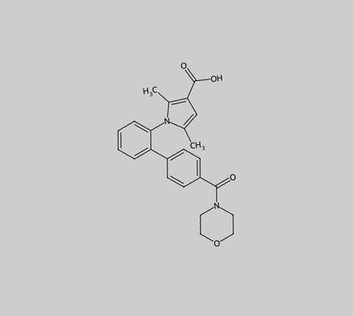 Cc1cc(C(=O)O)c(C)n1-c1ccccc1-c1ccc(C(=O)N2CCOCC2)cc1